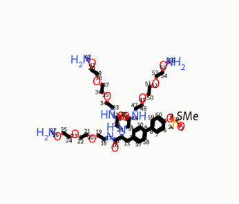 CSP(C)(=O)Oc1ccc(-c2ccc(CC(C(=O)NCCOCCOCCON)N(CC(=O)NCCOCCOCCON)CC(=O)NCCOCCOCCON)cc2)cc1